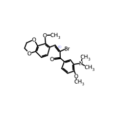 COc1ccc(C(=O)/C(Br)=C\c2ccc3c(c2OC)OCCO3)cc1N(C)C